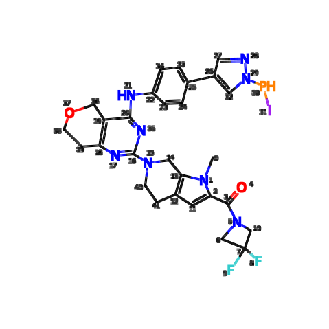 Cn1c(C(=O)N2CC(F)(F)C2)cc2c1CN(c1nc3c(c(Nc4ccc(-c5cnn(PI)c5)cc4)n1)COCC3)CC2